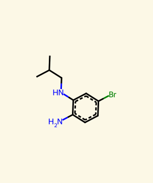 CC(C)CNc1cc(Br)ccc1N